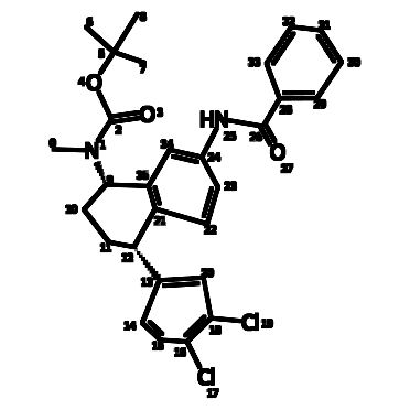 CN(C(=O)OC(C)(C)C)[C@H]1CC[C@@H](c2ccc(Cl)c(Cl)c2)c2ccc(NC(=O)c3ccccc3)cc21